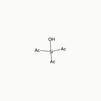 CC(=O)[Si](O)(C(C)=O)C(C)=O